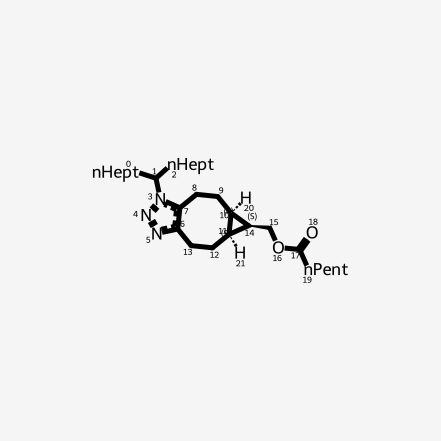 CCCCCCCC(CCCCCCC)n1nnc2c1CC[C@@H]1[C@H](CC2)[C@@H]1COC(=O)CCCCC